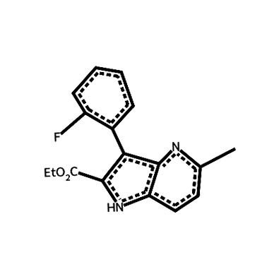 CCOC(=O)c1[nH]c2ccc(C)nc2c1-c1ccccc1F